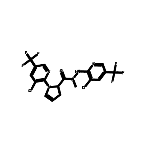 CN(Nc1ncc(C(F)(F)F)cc1Cl)C(=O)C1CC=CN1c1ncc(C(F)(F)F)cc1Cl